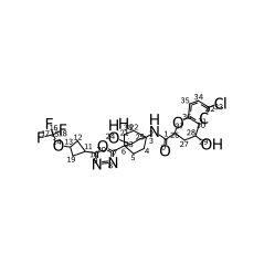 O=C(NC12CCC(c3nnc(C4CC(OC(F)(F)F)C4)o3)(CC1)[C@@H](O)C2)C1CC(O)c2cc(Cl)ccc2O1